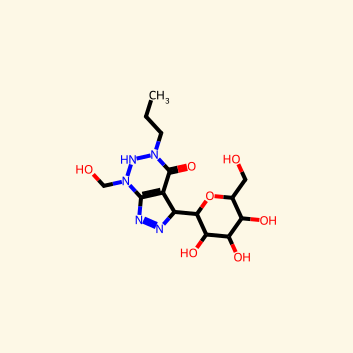 CCCN1NN(CO)C2=C(C1=O)C(C1OC(CO)C(O)C(O)C1O)N=N2